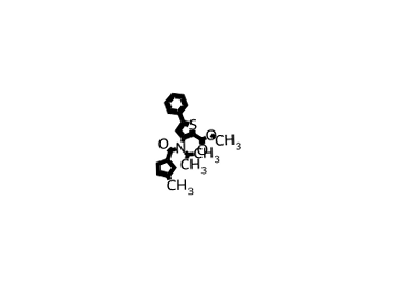 COC(=O)c1sc(-c2ccccc2)cc1N(C(=O)C1CC=C(C)C1)C(C)C